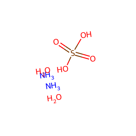 N.N.O.O.O=S(=O)(O)O